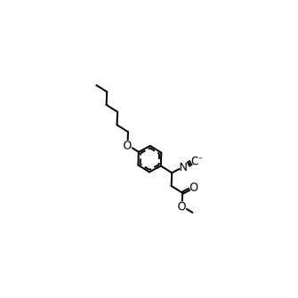 [C-]#[N+]C(CC(=O)OC)c1ccc(OCCCCCC)cc1